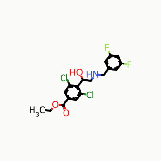 CCOC(=O)c1cc(Cl)c(C(O)CNCc2cc(F)cc(F)c2)c(Cl)c1